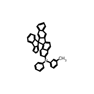 Cc1cccc(N(c2ccccc2)c2ccc3c4c(ccc3c2)-c2cc3ccccc3cc2C42c3ccccc3-c3ccccc32)c1